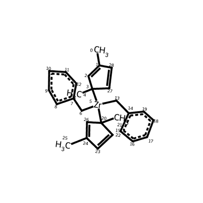 CC1=C[C](C)([Zr]([CH2]c2ccccc2)([CH2]c2ccccc2)[C]2(C)C=CC(C)=C2)C=C1